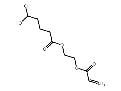 C=CC(=O)OCCOC(=O)CCCC(C)O